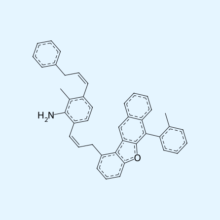 Cc1ccccc1-c1c2ccccc2cc2c1oc1cccc(C/C=C\c3ccc(/C=C\Cc4ccccc4)c(C)c3N)c12